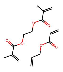 C=C(C)C(=O)OCCOC(=O)C(=C)C.C=CCOC(=O)C=C